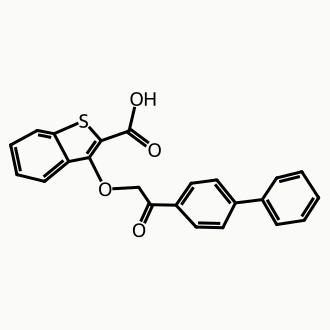 O=C(COc1c(C(=O)O)sc2ccccc12)c1ccc(-c2ccccc2)cc1